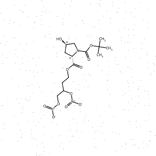 CC(C)(C)OC(=O)N1C[C@H](O)C[C@H]1C(=O)OCCC(CO[N+](=O)[O-])O[N+](=O)[O-]